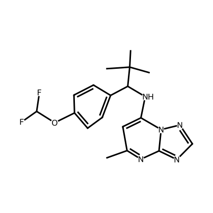 Cc1cc(NC(c2ccc(OC(F)F)cc2)C(C)(C)C)n2ncnc2n1